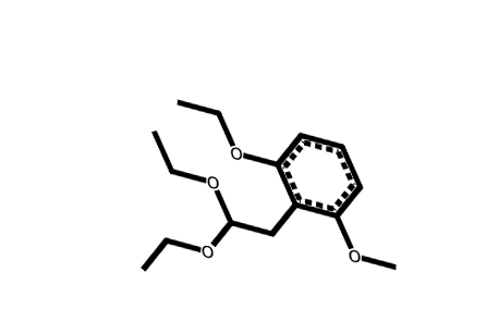 CCOc1cccc(OC)c1CC(OCC)OCC